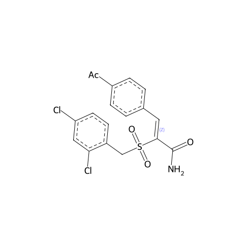 CC(=O)c1ccc(/C=C(/C(N)=O)S(=O)(=O)Cc2ccc(Cl)cc2Cl)cc1